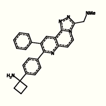 CNCc1nnc2c3cc(-c4ccccc4)c(-c4ccc(C5(N)CCC5)cc4)nc3ccn12